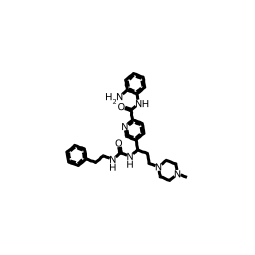 CN1CCN(CCC(NC(=O)NCCc2ccccc2)c2ccc(C(=O)Nc3ccccc3N)nc2)CC1